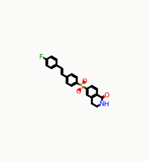 O=C1NCCc2cc(S(=O)(=O)c3ccc(C=Cc4ccc(F)cc4)cc3)ccc21